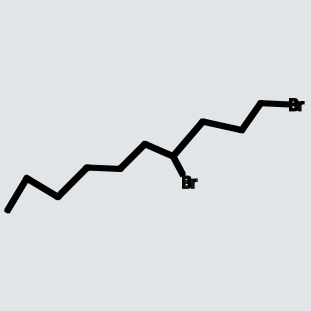 CCCCCCC(Br)CCCBr